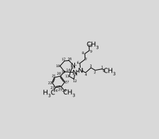 CCCCCN(CCCCC)N1CCC12[N]CCCC2c1ccc(C)c(C)c1